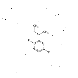 C[CH]C(C)c1cc(F)cnc1F